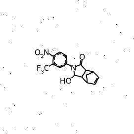 O=C1C2C3C=CC(C3)C2C(O)N1c1ccc([N+](=O)[O-])c(C(F)(F)F)c1